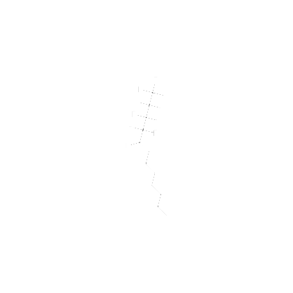 CCCCCCCC(F)C(F)(F)C(F)(F)C(F)(F)C(F)(F)F